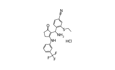 CCSc1cc(C#N)ccc1C(N)C1=C(Nc2cccc(C(F)(F)F)c2)CCC1=O.Cl